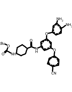 CC(C)(C)OC(=O)NC1CCC(C(=O)Nc2cc(Oc3ccc(C#N)cc3)cc(Oc3ccc(N)c(N)c3)c2)CC1